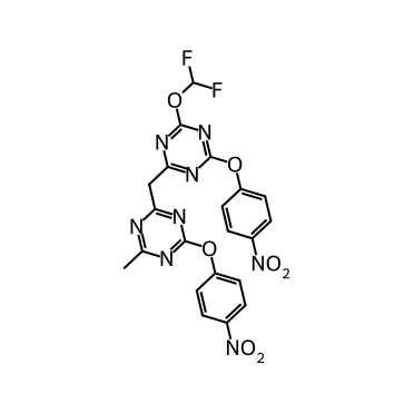 Cc1nc(Cc2nc(Oc3ccc([N+](=O)[O-])cc3)nc(OC(F)F)n2)nc(Oc2ccc([N+](=O)[O-])cc2)n1